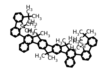 CC(C)(C)c1cccc2c1[Si](C)(C)c1c-2cccc1-c1cc2c(c3ccccc13)-c1cc3c(cc1C2(C)C)-c1cc2c(cc1C3(C)C)-c1c(cc(-c3cccc4c3[Si](C)(C)c3c-4cccc3C(C)(C)C)c3ccccc13)C2(C)C